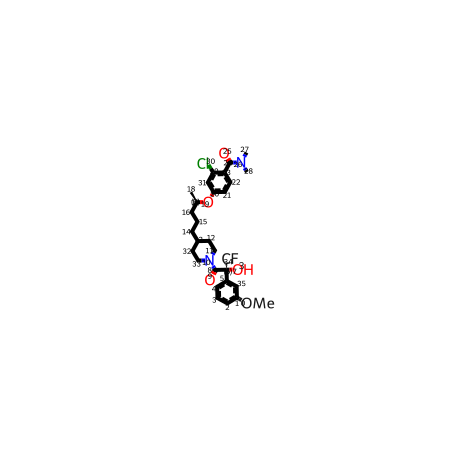 COc1cccc([C@](O)(C(=O)N2CCC(CCC[C@@H](C)Oc3ccc(C(=O)N(C)C)c(Cl)c3)CC2)C(F)(F)F)c1